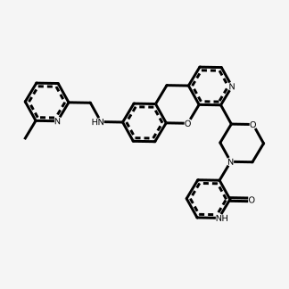 Cc1cccc(CNc2ccc3c(c2)Cc2ccnc(C4CN(c5ccc[nH]c5=O)CCO4)c2O3)n1